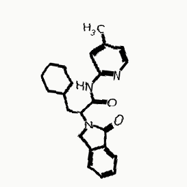 Cc1ccnc(NC(=O)[C@H](CC2CCCCC2)N2Cc3ccccc3C2=O)c1